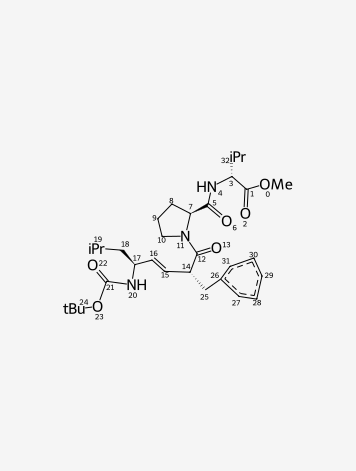 COC(=O)[C@H](NC(=O)[C@@H]1CCCN1C(=O)[C@@H](/C=C/[C@H](CC(C)C)NC(=O)OC(C)(C)C)Cc1ccccc1)C(C)C